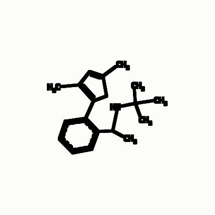 CC1=CC(C)=C(c2ccccc2C(C)NC(C)(C)C)C1